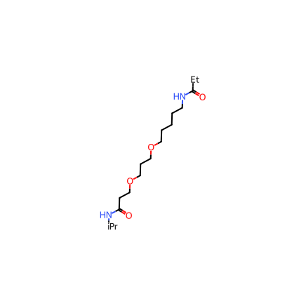 CCC(=O)NCCCCCOCCCOCCC(=O)NC(C)C